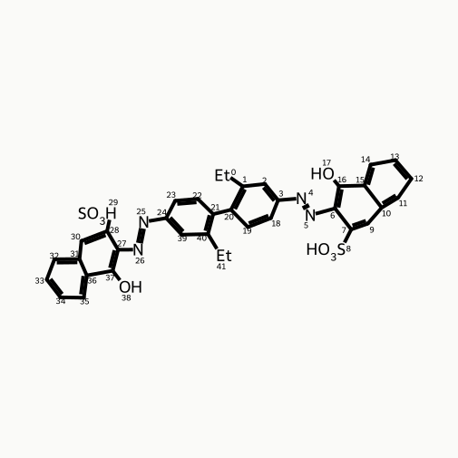 CCc1cc(/N=N/c2c(S(=O)(=O)O)cc3ccccc3c2O)ccc1-c1ccc(/N=N/c2c(S(=O)(=O)O)cc3ccccc3c2O)cc1CC